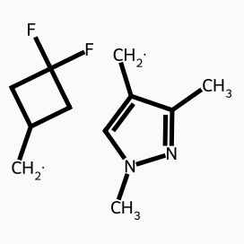 [CH2]C1CC(F)(F)C1.[CH2]c1cn(C)nc1C